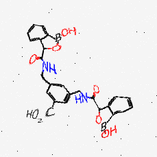 O=C(O)c1cc(CNC(=O)C2OB(O)c3ccccc32)cc(CNC(=O)C2OB(O)c3ccccc32)c1